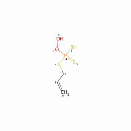 C=CCSP(=S)(S)OO